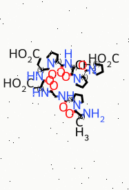 C[C@H](N)C(=O)N1CCC[C@H]1C(=O)NCC(=O)N[C@@H](CC(=O)O)C(=O)N[C@@H](CCC(=O)O)C(=O)N1CCC[C@H]1C(=O)N[C@@H](C)C(=O)N1CCC[C@H]1C(=O)N1CCC[C@H]1C(=O)O